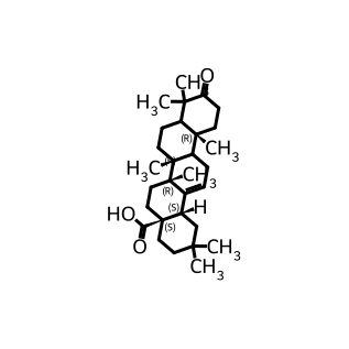 CC1(C)CC[C@]2(C(=O)O)CC[C@@]3(C)C(=CCC4[C@@]5(C)CCC(=O)C(C)(C)C5CC[C@]43C)[C@@H]2C1